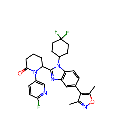 Cc1noc(C)c1-c1ccc2c(c1)nc(C1CCCC(=O)N1c1ccc(F)nc1)n2C1CCC(F)(F)CC1